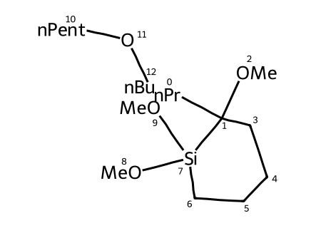 CCCC1(OC)CCCC[Si]1(OC)OC.CCCCCOCCCC